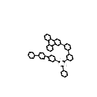 c1ccc(-c2ccc3c(c2)oc2cc(-c4nc(-c5ccccc5)nc(-c5cccc(-c6cccc(-c7ccc8c9ccccc9c9ccccc9c8c7)c6)c5)n4)ccc23)cc1